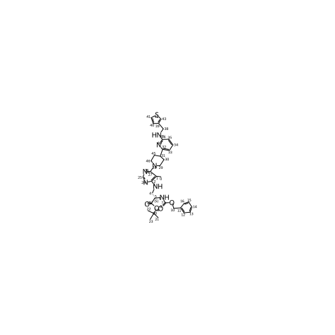 Cc1c(NC[C@H](NC(=O)OCc2ccccc2)C(=O)OC(C)(C)C)ncnc1N1CCC(c2cccc(NCc3ccsc3)n2)CC1